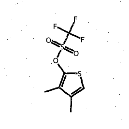 Cc1csc(OS(=O)(=O)C(F)(F)F)c1C